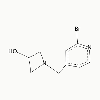 OC1CN(Cc2ccnc(Br)c2)C1